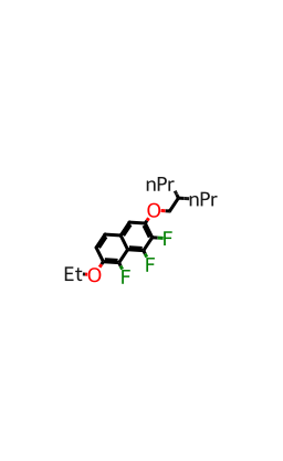 CCCC(CCC)COc1cc2ccc(OCC)c(F)c2c(F)c1F